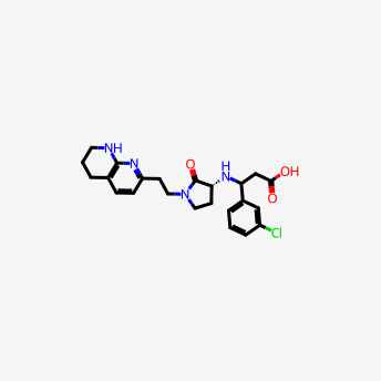 O=C(O)CC(N[C@@H]1CCN(CCc2ccc3c(n2)NCCC3)C1=O)c1cccc(Cl)c1